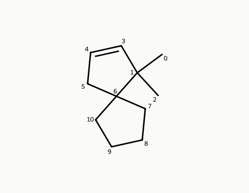 CC1(C)C=CCC12CCCC2